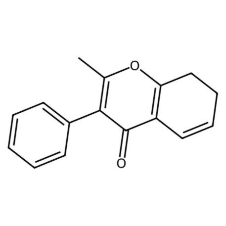 Cc1oc2c(c(=O)c1-c1ccccc1)C=CCC2